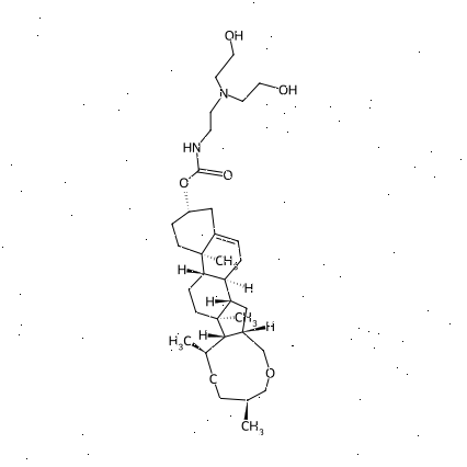 C[C@H]1CC[C@@H](C)[C@H]2[C@@H](COC1)C[C@H]1[C@@H]3CC=C4C[C@@H](OC(=O)NCCN(CCO)CCO)CC[C@]4(C)[C@H]3CC[C@]21C